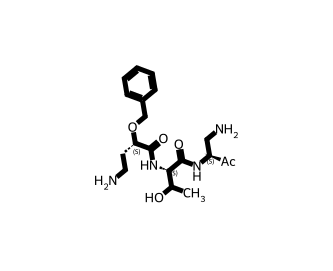 CC(=O)[C@H](CN)NC(=O)[C@@H](NC(=O)[C@H](CCN)OCc1ccccc1)C(C)O